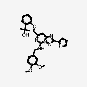 COc1ccc(CNc2nc(COc3ccccc3C(C)(C)O)cc3nc(-c4ccco4)nn23)cc1OC